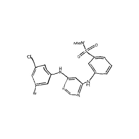 CNS(=O)(=O)c1cccc(Nc2cc(Nc3cc(Cl)cc(Br)c3)ncn2)c1